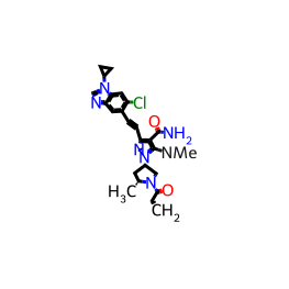 C=CC(=O)N1C[C@@H](n2nc(C#Cc3cc4ncn(C5CC5)c4cc3Cl)c(C(N)=O)c2NC)C[C@H]1C